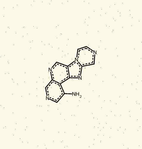 Nc1cncc2ncc3c(nc4cnccn43)c12